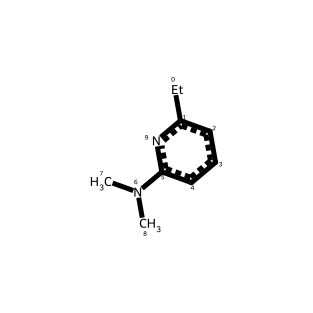 CCc1cccc(N(C)C)n1